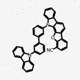 N#Cc1cccc2c1oc1c2ccc2c3ccccc3n(-c3cccc(-c4cccc(-n5c6ccccc6c6ccccc65)c4)c3)c21